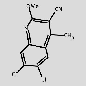 COc1nc2cc(Cl)c(Cl)cc2c(C)c1C#N